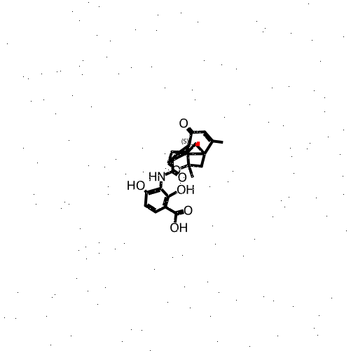 CC1=CC(=O)[C@@](C)(CCC(=O)Nc2c(O)ccc(C(=O)O)c2O)C2C3CC4CC12CC4(C)O3